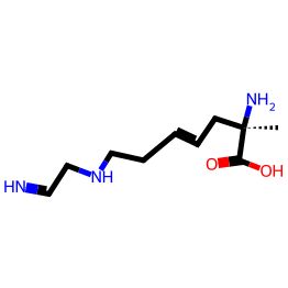 C[C@@](N)(C/C=C/CCNCC=N)C(=O)O